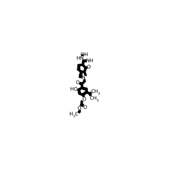 CCOC(=O)COc1cc(O)c(C(=O)CN2C=C3C=CC(C(=N)NO)C(=O)C3C2)cc1C(C)C